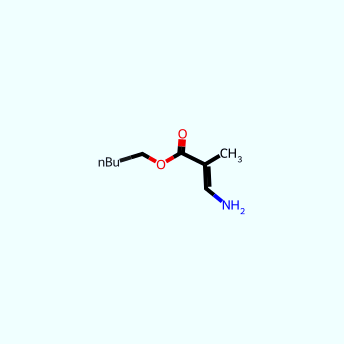 CCCCCOC(=O)C(C)=CN